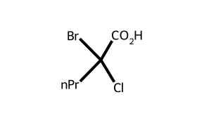 CCCC(Cl)(Br)C(=O)O